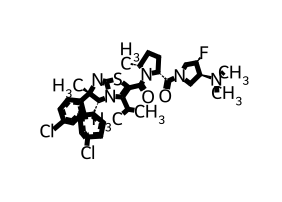 CC(C)C1=C(C(=O)N2[C@H](C)CC[C@@H]2C(=O)N2C[C@H](F)[C@@H](N(C)C)C2)SC2=N[C@@](C)(c3ccc(Cl)cc3)[C@@H](c3ccc(Cl)cc3)N21